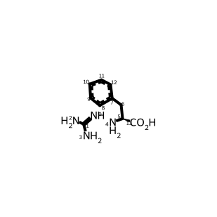 N=C(N)N.N[C@@H](Cc1ccccc1)C(=O)O